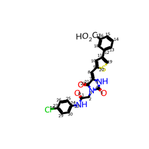 O=C(CN1C(=O)N/C(=C\c2cc(-c3cccc(C(=O)O)c3)cs2)C1=O)Nc1ccc(Cl)cc1